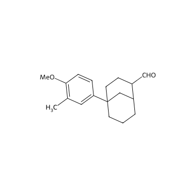 COc1ccc(C23CCCC(C2)C(C=O)CC3)cc1C